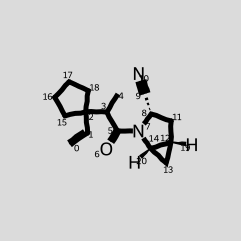 C=CC1(C(C)C(=O)N2[C@H](C#N)C[C@@H]3C[C@@H]32)CCCC1